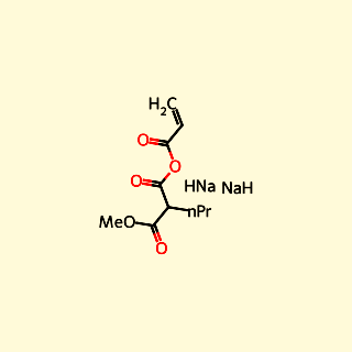 C=CC(=O)OC(=O)C(CCC)C(=O)OC.[NaH].[NaH]